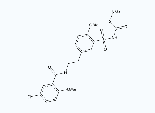 CNSC(=O)NS(=O)(=O)c1cc(CCNC(=O)c2cc(Cl)ccc2OC)ccc1OC